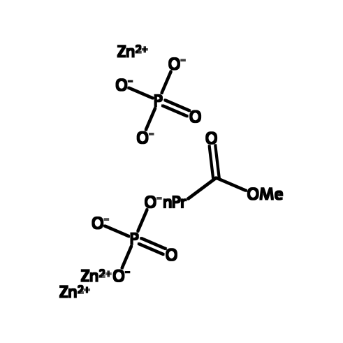 CCCC(=O)OC.O=P([O-])([O-])[O-].O=P([O-])([O-])[O-].[Zn+2].[Zn+2].[Zn+2]